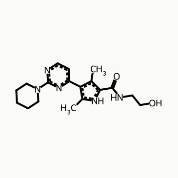 Cc1[nH]c(C(=O)NCCO)c(C)c1-c1ccnc(N2CCCCC2)n1